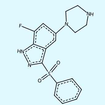 O=S(=O)(c1ccccc1)c1n[nH]c2c(F)cc(N3CCNCC3)cc12